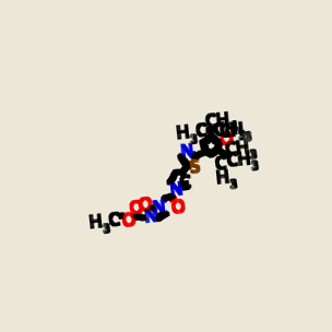 CCOC(=O)Cn1ccn(CC(=O)N2CCC(c3cnc(-c4cc(C(C)(C)C)c(OC)c(C(C)(C)C)c4)s3)CC2)c1=O